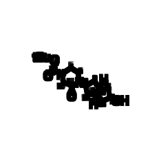 CC(C)(C)OC(=O)N1CCN([C@H]2C[C@H]3CC(O)C[C@H]3C2)C(=O)C1